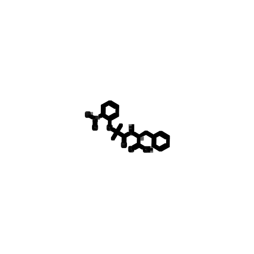 CC(C)(Oc1ccccc1[N+](=O)[O-])C(=O)N[C@@H](Cc1ccccc1)C(=O)O